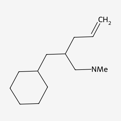 C=CCC(CNC)CC1CCCCC1